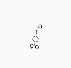 COC(=O)C1CCC(C#CC=O)CC1